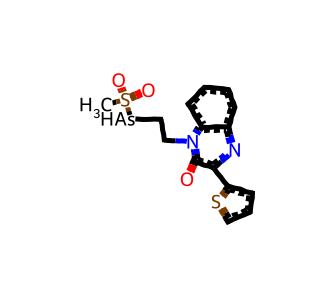 CS(=O)(=O)[AsH]CCn1c(=O)c(-c2cccs2)nc2ccccc21